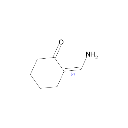 N/C=C1/CCCCC1=O